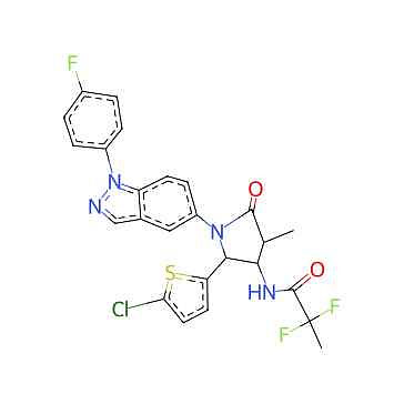 CC1C(=O)N(c2ccc3c(cnn3-c3ccc(F)cc3)c2)C(c2ccc(Cl)s2)C1NC(=O)C(C)(F)F